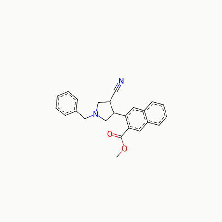 COC(=O)c1cc2ccccc2cc1C1CN(Cc2ccccc2)CC1C#N